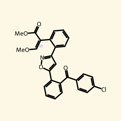 CO/C=C(\C(=O)OC)c1ccccc1-c1cc(-c2ccccc2C(=O)c2ccc(Cl)cc2)on1